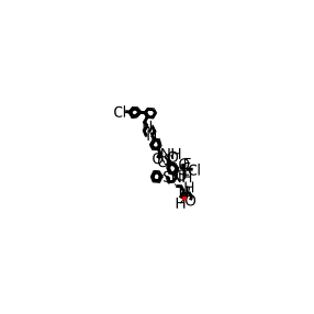 O=C(NS(=O)(=O)c1ccc(N[C@H](CCN2C[C@@H]3C[C@H]2CO3)CSc2ccccc2)c(S(=O)(=O)C(F)(F)Cl)c1)c1ccc(N2CCN(CC3=C(c4ccc(Cl)cc4)CCCC3)CC2)cc1